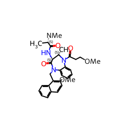 CN[C@@H](C)C(=O)N[C@@H]1C(=O)N(Cc2c(OC)ccc3ccccc23)c2ccccc2N(C(=O)CCOC)[C@H]1C